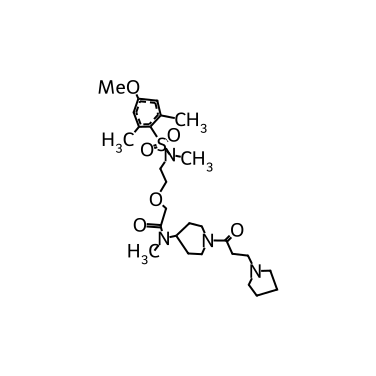 COc1cc(C)c(S(=O)(=O)N(C)CCOCC(=O)N(C)C2CCN(C(=O)CCN3CCCC3)CC2)c(C)c1